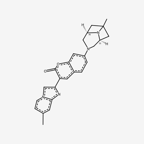 Cc1ccn2cc(-c3cc4ccc(N5C[C@@H]6CC7(C)C[C@H](C5)N67)cc4oc3=O)nc2c1